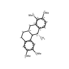 COc1cc2c(cc1OC)C1[C@@H](C)c3ccc(OC)c(OC)c3CN1CC2